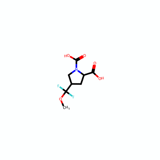 COC(F)(F)C1CC(C(=O)O)N(C(=O)O)C1